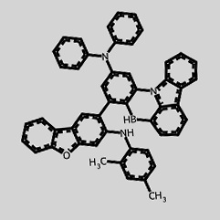 Cc1ccc(Nc2cc3oc4ccccc4c3cc2-c2cc(N(c3ccccc3)c3ccccc3)cc3c2Bc2cccc4c5ccccc5n-3c24)c(C)c1